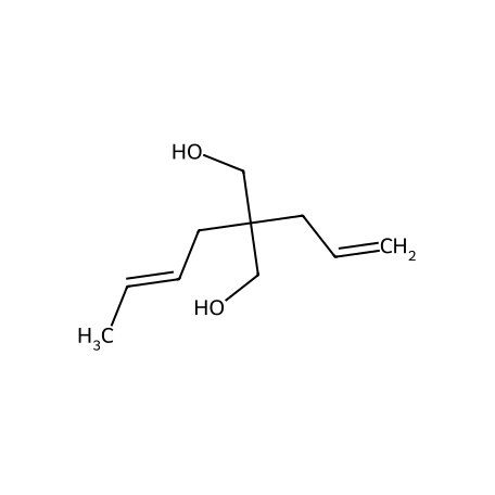 C=CCC(CO)(CO)CC=CC